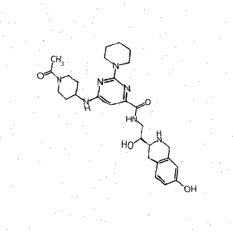 CC(=O)N1CCC(Nc2cc(C(=O)NCC(O)[C@@H]3Cc4ccc(O)cc4CN3)nc(N3CCCCC3)n2)CC1